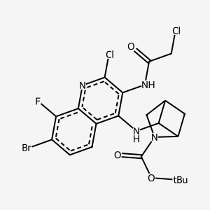 CC(C)(C)OC(=O)N1CC2CC1C2Nc1c(NC(=O)CCl)c(Cl)nc2c(F)c(Br)ccc12